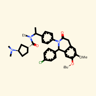 CC[C@@H](C)Oc1cc2c(cc1OC)CC(=O)N(c1ccc(C(C)N(CC)C(=O)[C@@H]3CC[C@@H](N(C)C)C3)cc1)C2c1ccc(Cl)cc1